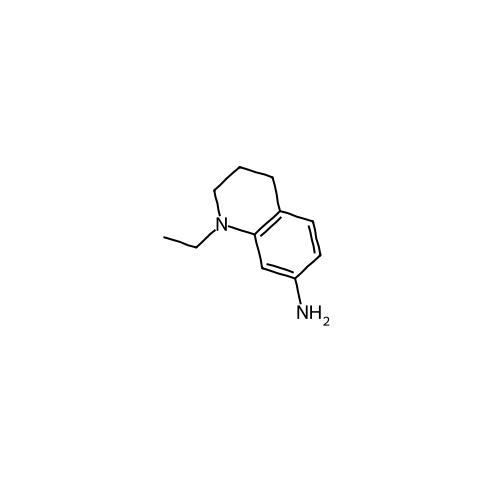 CCN1CCCc2ccc(N)cc21